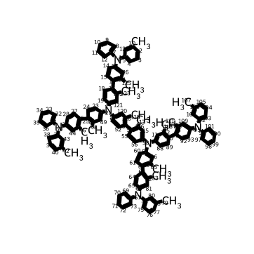 Cc1cccc(N(c2ccccc2)c2ccc(-c3ccc(N(c4ccc(-c5ccc(N(c6ccccc6)c6cccc(C)c6)cc5C)c(C)c4)c4ccc(-c5ccc(N(c6ccc(-c7ccc(N(c8ccccc8)c8cccc(C)c8)cc7C)c(C)c6)c6ccc(-c7ccc(N(c8ccccc8)c8cccc(C)c8)cc7C)c(C)c6)cc5C)c(C)c4)cc3C)c(C)c2)c1